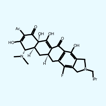 CC(=O)C1=C(O)[C@@H](N(C)C)[C@@H]2C[C@@H]3Cc4c(F)c5c(c(O)c4C(=O)C3=C(O)[C@]2(O)C1=O)CN(CC(C)C)C5